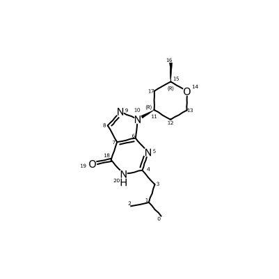 CC(C)Cc1nc2c(cnn2[C@@H]2CCO[C@H](C)C2)c(=O)[nH]1